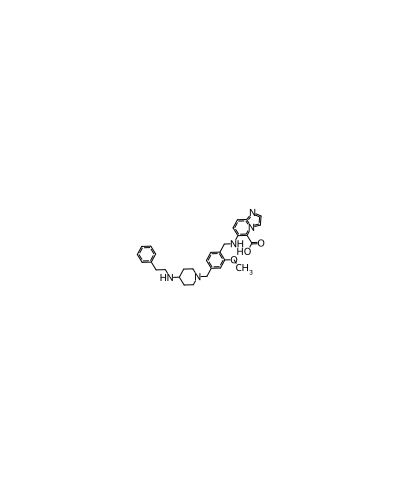 COc1cc(CN2CCC(NCCc3ccccc3)CC2)ccc1CNc1ccc2nccn2c1C(=O)O